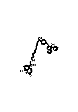 CN(CCCCCCCCCNC[C@@H](O)c1ccc(O)c2[nH]c(=O)ccc12)C1CCC(OC(=O)C(O)(c2cccs2)c2cccs2)CC1